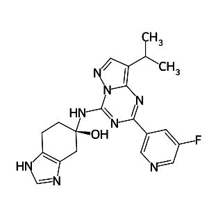 CC(C)c1cnn2c(N[C@@]3(O)CCc4[nH]cnc4C3)nc(-c3cncc(F)c3)nc12